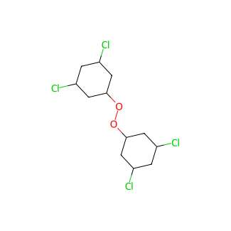 ClC1CC(Cl)CC(OOC2CC(Cl)CC(Cl)C2)C1